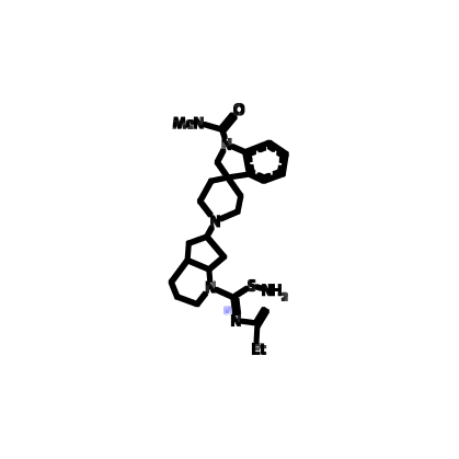 C=C(CC)/N=C(\SN)N1CCCC2CC(N3CCC4(CC3)CN(C(=O)NC)c3ccccc34)CC21